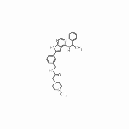 CC(Nc1ncnc2[nH]c(-c3cccc(CNC(=O)CN4CCN(C)CC4)c3)cc12)c1ccccc1